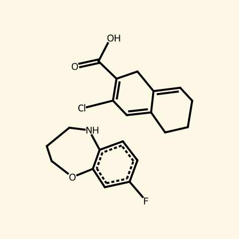 Fc1ccc2c(c1)OCCCN2.O=C(O)C1=C(Cl)C=C2CCCC=C2C1